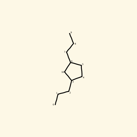 CCCC1CCC(CCC)C1